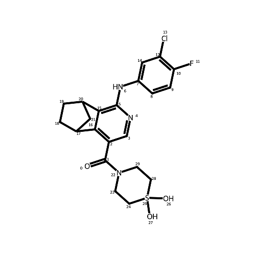 O=C(c1cnc(Nc2ccc(F)c(Cl)c2)c2c1C1CCC2C1)N1CCS(O)(O)CC1